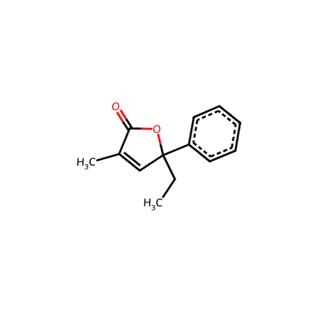 CCC1(c2ccccc2)C=C(C)C(=O)O1